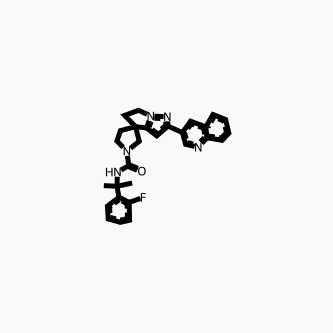 CC(C)(NC(=O)N1CCC2(CCn3nc(-c4cnc5ccccc5c4)cc32)C1)c1ccccc1F